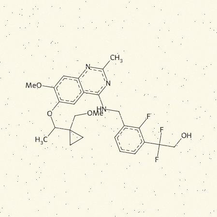 COCC1(C(C)Oc2cc3c(NCc4cccc(C(F)(F)CO)c4F)nc(C)nc3cc2OC)CC1